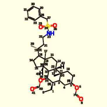 CC[C@@H]1C2C[C@H](OC=O)CC[C@@]2(C)[C@H]2CCC3(C)C([C@H](C)CCNS(=O)(=O)Cc4ccccc4)CC[C@H]3C2[C@@H]1OC=O